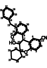 N#Cc1ccc2c(c1)C(c1cccn(Cc3ccccc3)c1=O)C(O)C1(CCCCC1)O2